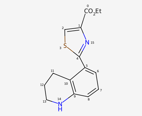 CCOC(=O)c1csc(-c2cccc3c2CCCN3)n1